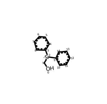 OC[Si](c1ccccc1)c1ccccc1